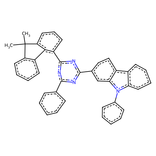 CC1(C)c2ccccc2-c2c(-c3nc(-c4ccccc4)nc(-c4ccc5c6ccccc6n(-c6ccccc6)c5c4)n3)cccc21